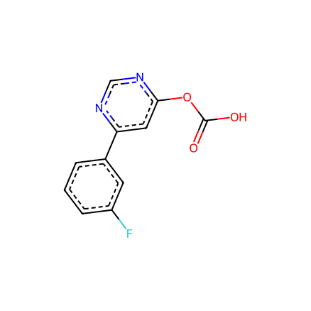 O=C(O)Oc1cc(-c2cccc(F)c2)ncn1